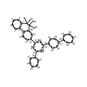 CC1(C)c2ccccc2-c2ccc(-c3nc(-c4ccccc4)nc(-c4ccc(-c5ccccc5)cc4)n3)cc2C1(C)C